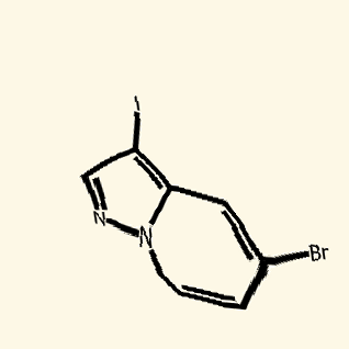 Brc1ccn2ncc(I)c2c1